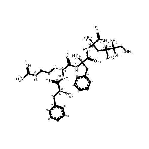 BC(B)(CN)C(B)(B)C[C@](B)(NC(=O)[C@](B)(Cc1ccccc1)NC(=O)[C@@H](CCCNC(=N)N)NC(=O)[C@@H](N)Cc1ccccc1)C(N)=O